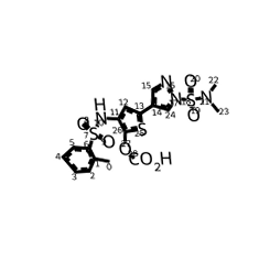 Cc1ccccc1S(=O)(=O)Nc1cc(-c2cnn(S(=O)(=O)N(C)C)c2)sc1OC(=O)O